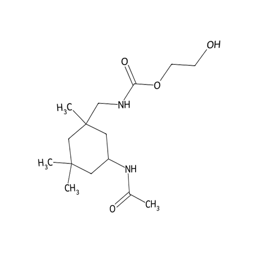 CC(=O)NC1CC(C)(C)CC(C)(CNC(=O)OCCO)C1